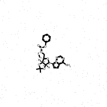 CC1(C)O[C@H]2[C@H](c3ccc4c(N)ncnn34)O[C@](CF)(CO[PH](=O)Oc3ccccc3)[C@H]2O1